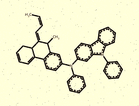 C/C=C\C=C1\C2CC=CC=C2c2ccc(N(c3ccccc3)c3ccc4c5ccccc5n(-c5ccccc5)c4c3)cc2C1C